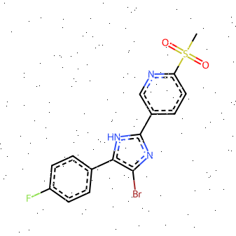 CS(=O)(=O)c1ccc(-c2nc(Br)c(-c3ccc(F)cc3)[nH]2)cn1